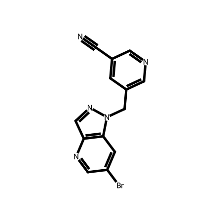 N#Cc1cncc(Cn2ncc3ncc(Br)cc32)c1